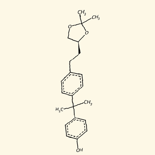 CC1(C)OC[C@H](CCc2ccc(C(C)(C)c3ccc(O)cc3)cc2)O1